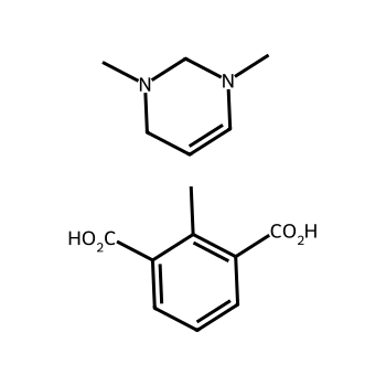 CN1C=CCN(C)C1.Cc1c(C(=O)O)cccc1C(=O)O